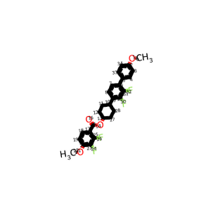 COc1ccc(-c2ccc(C3CCC(OC(=O)c4ccc(OC)c(F)c4F)CC3)c(F)c2F)cc1